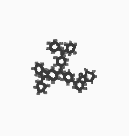 C1=Cc2c(oc3c(-c4ccc(N(c5ccc(N(c6ccccc6)c6ccccc6)cc5)c5ccc6c(c5)c5ccccc5n6-c5ccccc5)cc4)cccc23)CC1